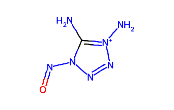 Nc1n(N=O)nn[n+]1N